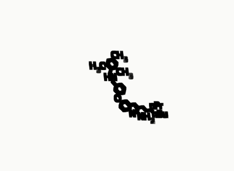 CCCCC(CCC)CCc1cc2cc(Oc3cccc(CNCc4c(C)cc(C)cc4C)c3)ccc2nc1N